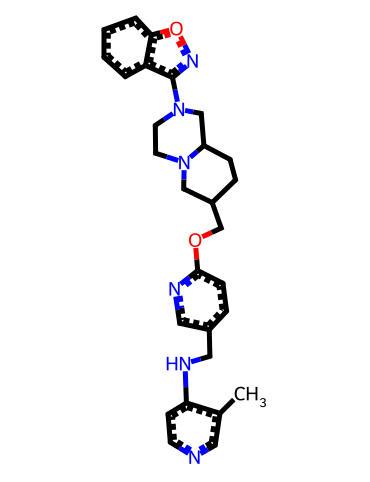 Cc1cnccc1NCc1ccc(OCC2CCC3CN(c4noc5ccccc45)CCN3C2)nc1